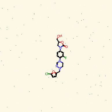 O=C1OC(CO)CN1c1ccc(N2C=NN(Cc3ccc(Cl)o3)CC2)c(F)c1